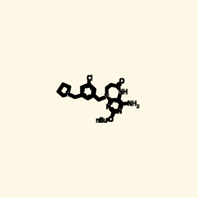 CCCCOc1nc(N)c2c(n1)N(Cc1cc(Cl)cc(CN3CCCC3)c1)CCC(=O)N2